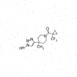 CCCn1cc(C2(C)CCN(C(=O)C3(C(F)(F)F)CC3)CC2)nn1